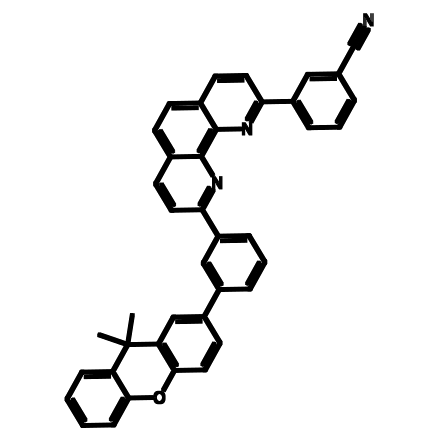 CC1(C)c2ccccc2Oc2ccc(-c3cccc(-c4ccc5ccc6ccc(-c7cccc(C#N)c7)nc6c5n4)c3)cc21